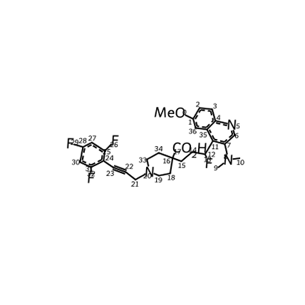 COc1ccc2ncc(N(C)C)c(C(F)CCC3(C(=O)O)CCN(CC#Cc4c(F)cc(F)cc4F)CC3)c2c1